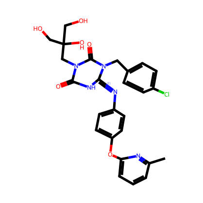 Cc1cccc(Oc2ccc(/N=c3\[nH]c(=O)n(CC(O)(CO)CO)c(=O)n3Cc3ccc(Cl)cc3)cc2)n1